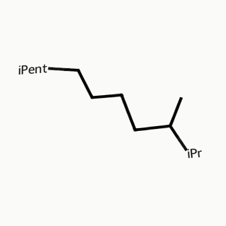 CCCC(C)CCCCC(C)C(C)C